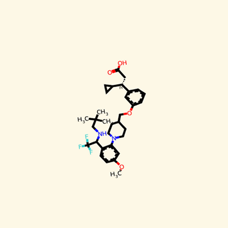 COc1ccc(C(NCC(C)(C)C)C(F)(F)F)c(N2CCC(COc3cccc([C@@H](CC(=O)O)C4CC4)c3)CC2)c1